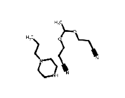 CC(OCCC#N)OCCC#N.CCCN1CCNCC1